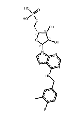 Cc1cc(CNc2ncnc3c2ncn3[C@@H]2O[C@H](COP(=O)(O)O)[C@@H](O)[C@H]2O)ccc1F